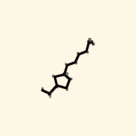 COC1CCN(CCCCN)C1